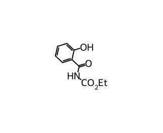 CCOC(=O)NC(=O)c1ccccc1O